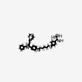 N=C(NO)c1ccc(OCCCCCOc2ccc(-c3nc(-c4ccccc4)sc3CCN3CCOCC3)cc2)cc1